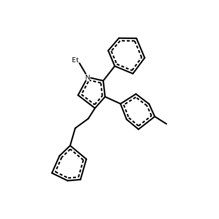 CCn1cc(CCc2ccccc2)c(-c2ccc(C)cc2)c1-c1ccccc1